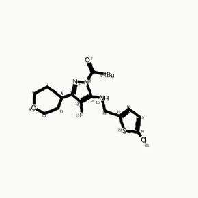 CC(C)(C)C(=O)n1nc(C2CCOCC2)c(F)c1NCc1ccc(Cl)s1